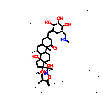 C=C1ON(C(C)(O)C2(O)CCC3(O)C4CC=C5CC(C=C6CC(CNC)C(O)C(O)C6O)CC(=O)C5(C)C4CCC32C)C(C)=C1C